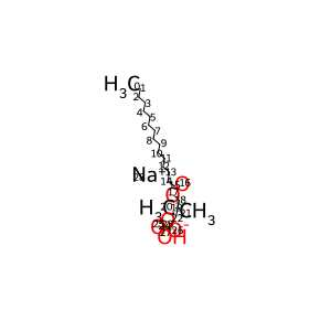 CCCCCCCCCCCCCCCC(=O)OCC(C)(C)COP(=O)([O-])O.[Na+]